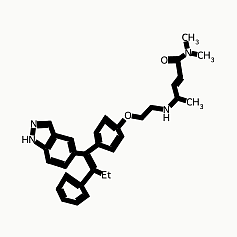 CCC(=C(c1ccc(OCCNC(C)C=CC(=O)N(C)C)cc1)c1ccc2[nH]ncc2c1)c1ccccc1